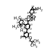 CC(C)COc1cc(F)cc(-c2ccc(C(=O)NS(=O)(=O)N3CC4CC4(N)C3)c(N3C[C@@H](C)CC3(C)C)n2)c1